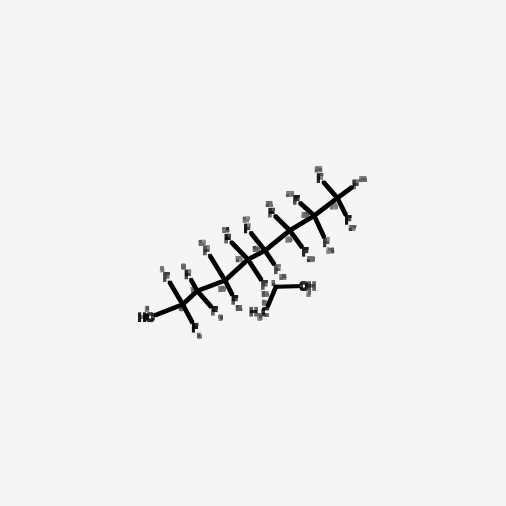 CCO.OC(F)(F)C(F)(F)C(F)(F)C(F)(F)C(F)(F)C(F)(F)C(F)(F)C(F)(F)F